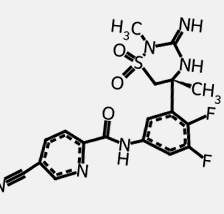 CN1C(=N)N[C@](C)(c2cc(NC(=O)c3ccc(C#N)cn3)cc(F)c2F)CS1(=O)=O